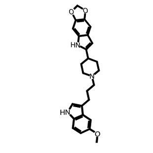 COc1ccc2[nH]cc(CCCN3CCC(c4cc5cc6c(cc5[nH]4)OCO6)CC3)c2c1